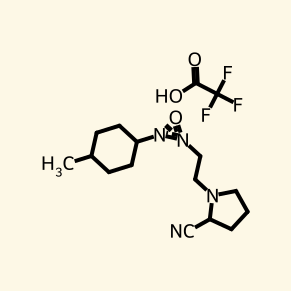 CC1CCC(n2on2CCN2CCCC2C#N)CC1.O=C(O)C(F)(F)F